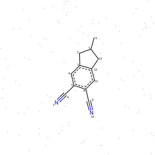 CC1Cc2cc(C#N)c(C#N)cc2C1